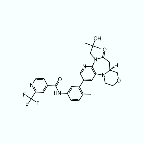 Cc1ccc(NC(=O)c2ccnc(C(F)(F)F)c2)cc1-c1cnc2c(c1)N1CCOC[C@H]1CC(=O)N2CC(C)(C)O